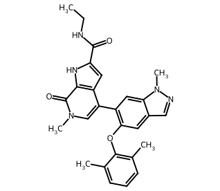 CCNC(=O)c1cc2c(-c3cc4c(cnn4C)cc3Oc3c(C)cccc3C)cn(C)c(=O)c2[nH]1